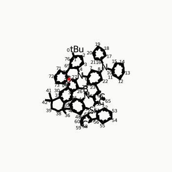 CC(C)(C)c1ccc(N2c3cc(N(c4ccccc4)c4ccccc4)cc4c3B(c3c2sc2cc5c(cc32)C(C)(C)CCC5(C)C)N2c3ccccc3[Si]3(c5ccccc5-c5ccccc53)c3cccc-4c32)c(-c2ccccc2)c1